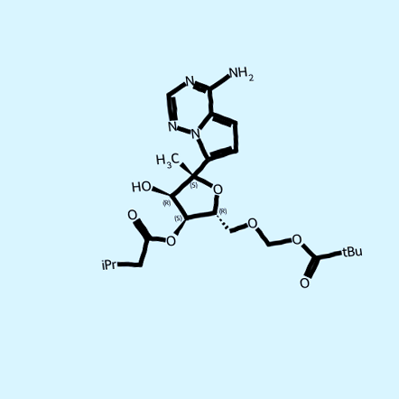 CC(C)CC(=O)O[C@H]1[C@@H](O)[C@](C)(c2ccc3c(N)ncnn23)O[C@@H]1COCOC(=O)C(C)(C)C